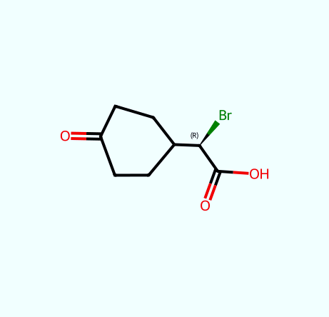 O=C1CCC([C@@H](Br)C(=O)O)CC1